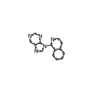 c1ccc2c(-n3cnc4cncnc43)nccc2c1